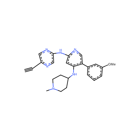 C#Cc1cnc(Nc2cc(NC3CCN(C)CC3)c(-c3cccc(OC)c3)cn2)cn1